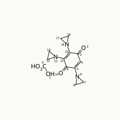 O=C(O)O.O=C1C=C(N2CC2)C(=O)C(N2CC2)=C1N1CC1